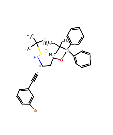 CC(C)(C)[S+]([O-])N[C@@H](C#Cc1cccc(Br)c1)CCO[Si](c1ccccc1)(c1ccccc1)C(C)(C)C